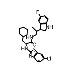 CC(CNC(=O)[C@H](CC1CCCCC1)Nc1nc2ccc(Cl)cc2s1)C1CNc2ccc(F)cc21